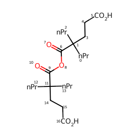 CCCC(CCC)(CCC(=O)O)C(=O)OC(=O)C(CCC)(CCC)CCC(=O)O